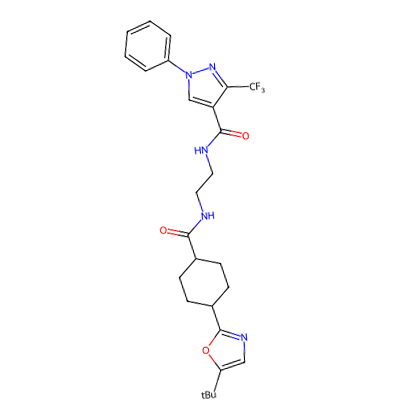 CC(C)(C)c1cnc(C2CCC(C(=O)NCCNC(=O)c3cn(-c4ccccc4)nc3C(F)(F)F)CC2)o1